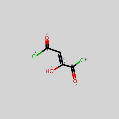 O=C(Cl)/C=C(\O)C(=O)Cl